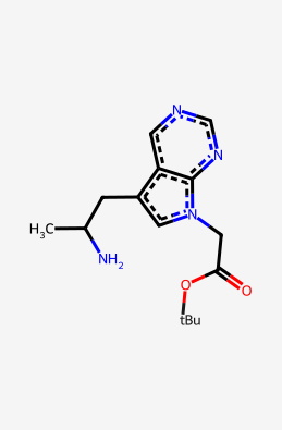 CC(N)Cc1cn(CC(=O)OC(C)(C)C)c2ncncc12